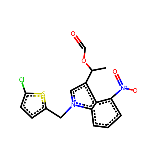 CC(OC=O)c1cn(Cc2ccc(Cl)s2)c2cccc([N+](=O)[O-])c12